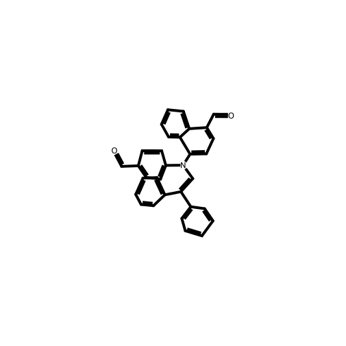 O=Cc1ccc(N(C=C(c2ccccc2)c2ccccc2)c2ccc(C=O)c3ccccc23)cc1